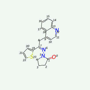 O=C1CCCN1N=C(Cc1ccnc2ccccc12)c1cccs1